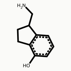 NCC1CCc2c(O)cccc21